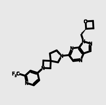 FC(F)(F)c1cc(N2CC3(CCN(c4cnc5cnn(C[C@H]6CCO6)c5n4)C3)C2)ccn1